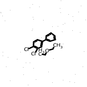 CCOCC.Clc1ccc(-c2ccccc2)cc1Cl